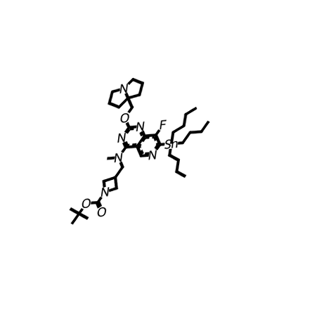 CCC[CH2][Sn]([CH2]CCC)([CH2]CCC)[c]1ncc2c(N(C)CC3CN(C(=O)OC(C)(C)C)C3)nc(OCC34CCCN3CCC4)nc2c1F